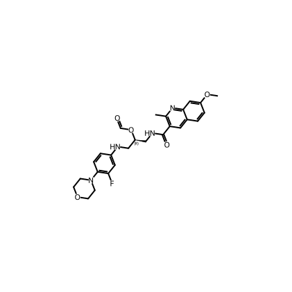 COc1ccc2cc(C(=O)NC[C@@H](CNc3ccc(N4CCOCC4)c(F)c3)OC=O)c(C)nc2c1